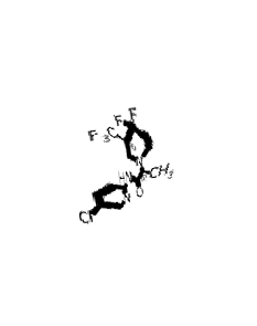 C[C@@H](C(=O)Nc1ccc(Cl)cn1)N1CCC(F)(F)[C@H](C(F)(F)F)C1